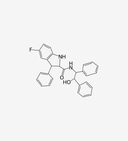 O=C(NC(c1ccccc1)C(O)c1ccccc1)C1Nc2ccc(F)cc2C1c1ccccc1